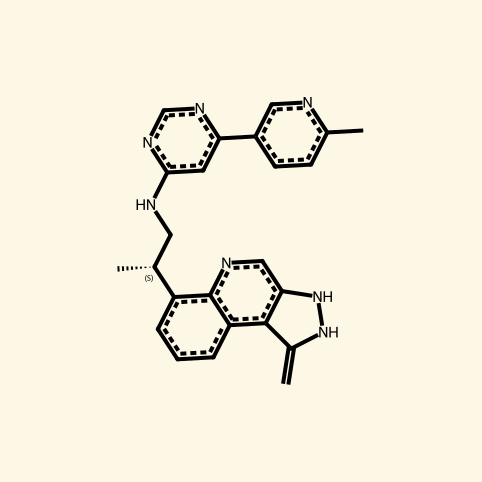 C=C1NNc2cnc3c([C@H](C)CNc4cc(-c5ccc(C)nc5)ncn4)cccc3c21